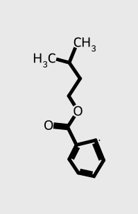 CC(C)CCOC(=O)c1[c]cccc1